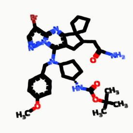 COc1ccc(CN(c2c3c(nc4c(Br)cnn24)C2(CCCC2)C(CC(N)=O)C3)[C@H]2CC[C@H](NC(=O)OC(C)(C)C)C2)cc1